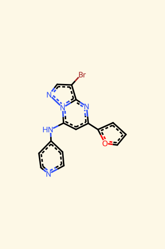 Brc1cnn2c(Nc3ccncc3)cc(-c3ccco3)nc12